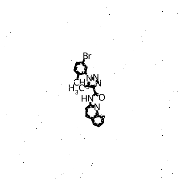 Cc1ccc(Br)cc1-n1nnc(C(=O)Nc2ccc3ccccc3n2)c1C